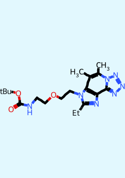 CCc1nc2c(c(C)c(C)n3nnnc23)n1CCOCCNC(=O)OC(C)(C)C